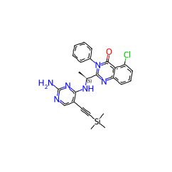 C[C@H](Nc1nc(N)ncc1C#C[Si](C)(C)C)c1nc2cccc(Cl)c2c(=O)n1-c1ccccc1